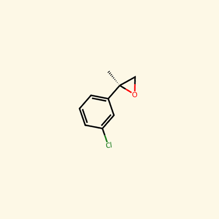 C[C@]1(c2cccc(Cl)c2)CO1